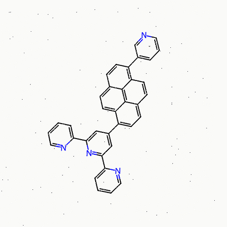 c1ccc(-c2cc(-c3ccc4ccc5c(-c6cccnc6)ccc6ccc3c4c65)cc(-c3ccccn3)n2)nc1